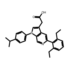 CCc1cccc(CC)c1-c1cc2c(CC(=O)O)cn(-c3ccc(C(C)C)cc3)c2cn1